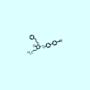 C=CC[C@@H]1C[C@@H](COc2ccc(-c3ccc(C#N)cc3)cc2)N(CCCc2ccccc2)C1=O